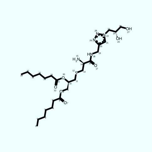 CCCCCCC(=O)OC[C@H](CSC[C@@H](N)C(=O)NCc1cn(C[C@@H](O)CO)nn1)OC(=O)CCCCCC